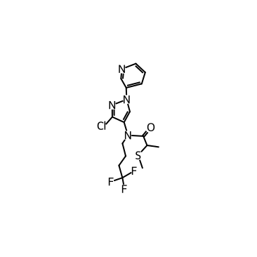 CSC(C)C(=O)N(CCCC(F)(F)F)c1cn(-c2cccnc2)nc1Cl